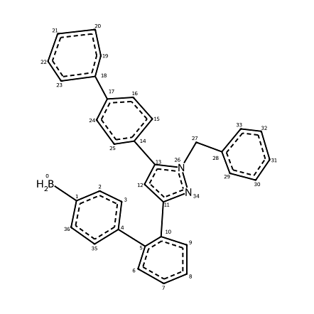 Bc1ccc(-c2ccccc2-c2cc(-c3ccc(-c4ccccc4)cc3)n(Cc3ccccc3)n2)cc1